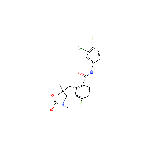 CN(C(=O)O)C1c2c(F)ccc(C(=O)Nc3ccc(F)c(Cl)c3)c2CC1(C)C